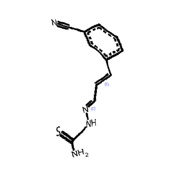 N#Cc1cccc(/C=C/C=N/NC(N)=S)c1